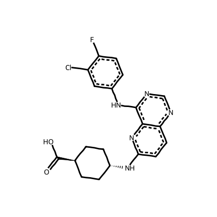 O=C(O)[C@H]1CC[C@H](Nc2ccc3ncnc(Nc4ccc(F)c(Cl)c4)c3n2)CC1